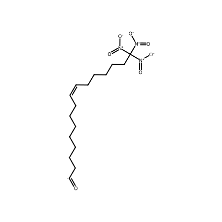 O=[C]CCCCCCC/C=C\CCCCCC([N+](=O)[O-])([N+](=O)[O-])[N+](=O)[O-]